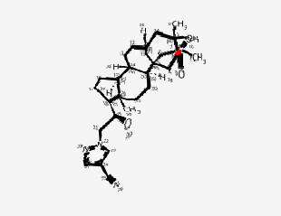 C[C@@]1(O)CC[C@@]2(CS(C)(=O)=O)[C@H](CC[C@H]3[C@@H]4CC[C@H](C(=O)Cn5cc(C#N)cn5)[C@@]4(C)CC[C@@H]32)C1